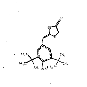 CC(C)(C)c1cc(C=C2NC(=O)CS2)cc(C(C)(C)C)c1O